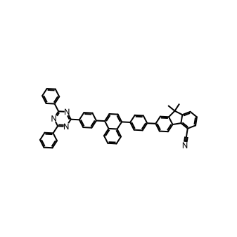 CC1(C)c2cc(-c3ccc(-c4ccc(-c5ccc(-c6nc(-c7ccccc7)nc(-c7ccccc7)n6)cc5)c5ccccc45)cc3)ccc2-c2c(C#N)cccc21